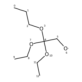 CCCOC(C[O])(OCC)OCC